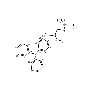 CN(C)CCN(C)C.c1ccc(P(c2ccccc2)c2ccccc2)cc1